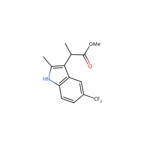 COC(=O)C(C)c1c(C)[nH]c2ccc(C(F)(F)F)cc12